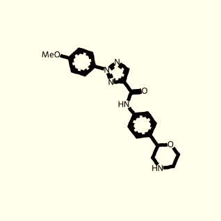 COc1ccc(-n2ncc(C(=O)Nc3ccc(C4CNCCO4)cc3)n2)cc1